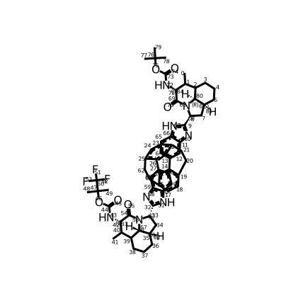 CC1C2CCC[C@H]3C[C@@H](c4nc5cc(-c6cc7ccc6CCc6ccc(c(-c8ccc9[nH]c([C@@H]%10C[C@@H]%11CCCC%12C(C)[C@H](NC(=O)OC(C)(C)C(F)(F)F)C(=O)N%10[C@@H]%12%11)nc9c8)c6)CC7)ccc5[nH]4)N(C(=O)[C@H]1NC(=O)OC(C)(C)C)[C@@H]23